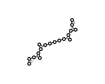 c1ccc2c(c1)oc1c(-c3ccc(-n4c5ccccc5c5cc(-c6ccc7c(c6)c6ccccc6n7-c6ccc(-c7ccc(-c8ccc(-c9ccc(-c%10ccc(-n%11c%12ccccc%12c%12cc(-c%13ccc%14c(c%13)c%13ccccc%13n%14-c%13ccc%14c(c%13)sc%13ccccc%13%14)ccc%12%11)cc%10)cc9)cc8)cc7)cc6)ccc54)cc3)cccc12